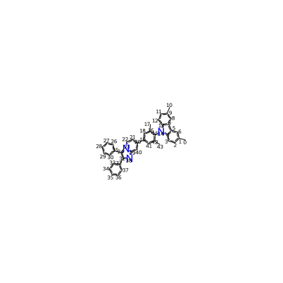 Cc1ccc2c(c1)c1cc(C)ccc1n2-c1c(C)cc(-c2ccn3c(-c4ccccc4)c(-c4ccccc4)nc3c2)cc1C